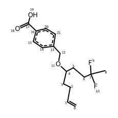 C=CCCC(CCC(C)(F)F)OCc1ccc(C(=O)O)cc1